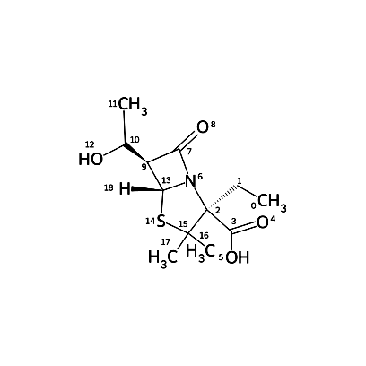 CC[C@@]1(C(=O)O)N2C(=O)[C@H](C(C)O)[C@H]2SC1(C)C